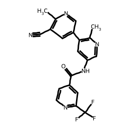 Cc1ncc(-c2cc(NC(=O)c3ccnc(C(F)(F)F)c3)cnc2C)cc1C#N